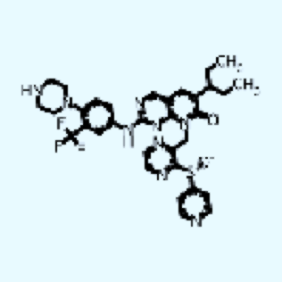 CCC(CC)c1cc2cnc(Nc3ccc(N4CCNCC4)c(C(F)(F)F)c3)nc2n(Cc2nccnc2[S+]([O-])c2ccncc2)c1=O